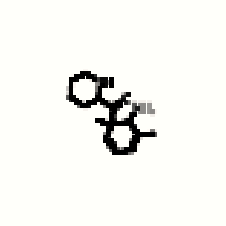 CC1=CC=CC(C)(C(=O)C2CCCCN2)C1N